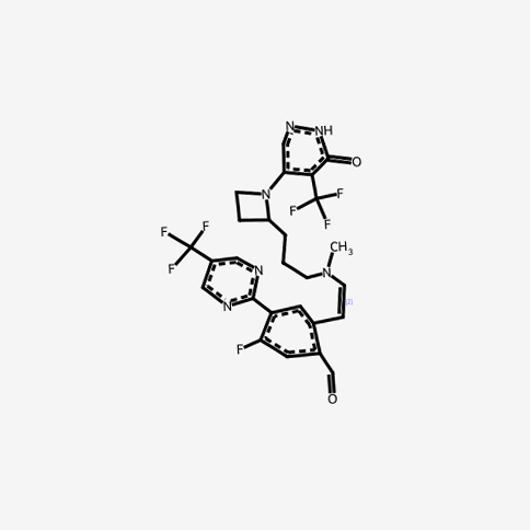 CN(/C=C\c1cc(-c2ncc(C(F)(F)F)cn2)c(F)cc1C=O)CCCC1CCN1c1cn[nH]c(=O)c1C(F)(F)F